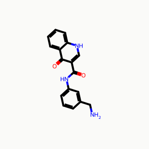 NCc1cccc(NC(=O)c2c[nH]c3ccccc3c2=O)c1